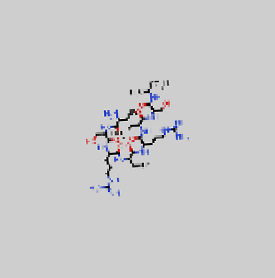 CC(C)CC(N)C(=O)NC(CO)C(=O)NC(CCCNC(=N)N)C(=O)NC(CC(C)C)C(=O)NC(CCCNC(=N)N)C(=O)NC(CC(=O)O)C(=O)NC(CO)C(=O)NC(C)C(=O)O